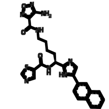 Nc1nonc1C(=O)NCCCC[C@H](NC(=O)c1cncs1)c1ncc(-c2ccc3ccccc3c2)[nH]1